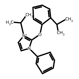 CC(C)c1ccccc1Oc1n(-c2ccccc2)cc[n+]1C(C)C